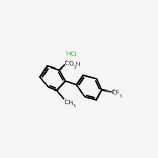 Cc1cccc(C(=O)O)c1-c1ccc(C(F)(F)F)cc1.Cl